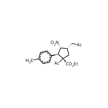 CCOC(=O)[C@]1(C(C)=O)C[C@@H](CC(C)=O)[C@@H]([N+](=O)[O-])[C@@H]1c1ccc(C)cc1